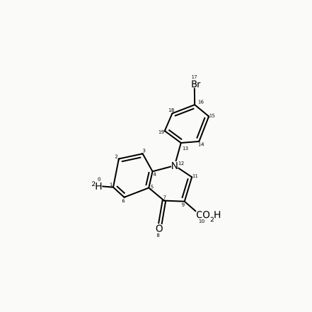 [2H]c1ccc2c(c1)c(=O)c(C(=O)O)cn2-c1ccc(Br)cc1